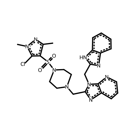 Cc1nn(C)c(Cl)c1S(=O)(=O)N1CCN(Cc2nc3cccnc3n2Cc2nc3ccccc3[nH]2)CC1